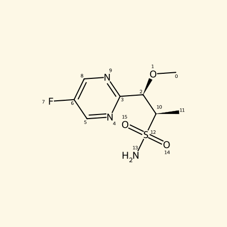 CO[C@H](c1ncc(F)cn1)[C@@H](C)S(N)(=O)=O